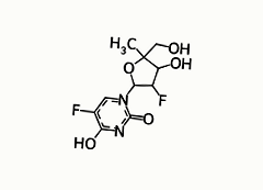 CC1(CO)OC(n2cc(F)c(O)nc2=O)C(F)C1O